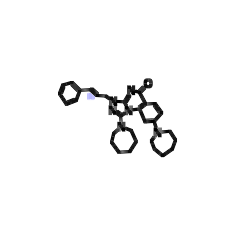 O=c1nc2n(C/C=C/c3ccccc3)nc(N3CCCCCC3)n2c2cc(N3CCCCCC3)ccc12